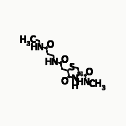 CCNC(=O)CCNC(=O)CC1SC[C@H](C(=O)NC)NC1=O